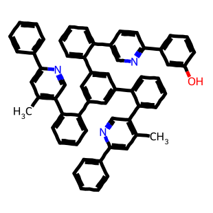 Cc1cc(-c2ccccc2)ncc1-c1ccccc1-c1cc(-c2ccccc2-c2ccc(-c3cccc(O)c3)nc2)cc(-c2ccccc2-c2cnc(-c3ccccc3)cc2C)c1